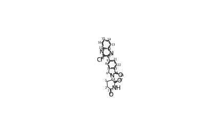 O=C1CCC(N2Cc3cc(-c4nc5ccccc5nc4Cl)ccc3C2=O)C(=O)N1